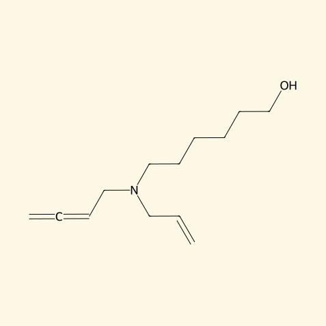 C=C=CCN(CC=C)CCCCCCO